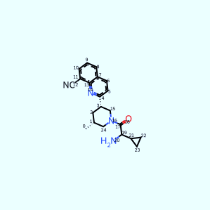 C[C@@H]1C[C@H](c2ccc3cccc(C#N)c3n2)CN(C(=O)C(N)C2CC2)C1